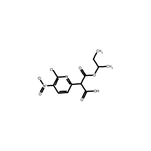 CCC(C)OC(=O)C(C(=O)O)c1ccc([N+](=O)[O-])c(Cl)n1